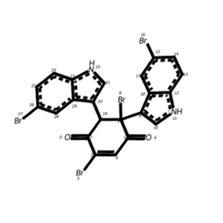 O=C1C(Br)=CC(=O)C(Br)(c2c[nH]c3ccc(Br)cc23)C1c1c[nH]c2ccc(Br)cc12